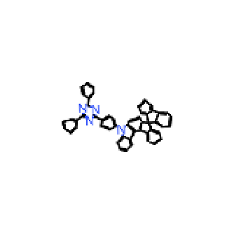 c1ccc(-c2nc(-c3ccccc3)nc(-c3ccc(-n4c5ccccc5c5c6c(ccc54)C4(c5ccccc5-c5ccccc54)c4ccccc4-6)cc3)n2)cc1